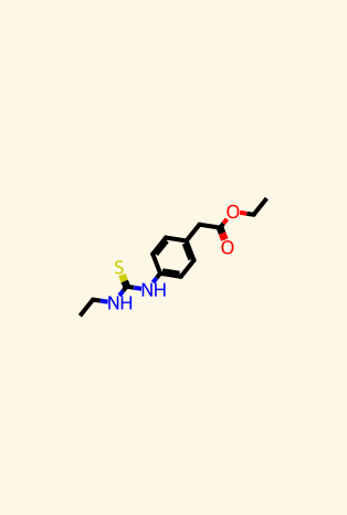 CCNC(=S)Nc1ccc(CC(=O)OCC)cc1